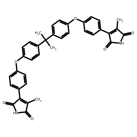 CC1=C(c2ccc(Oc3ccc(C(C)(C)c4ccc(Oc5ccc(C6=C(C)C(=O)NC6=O)cc5)cc4)cc3)cc2)C(=O)NC1=O